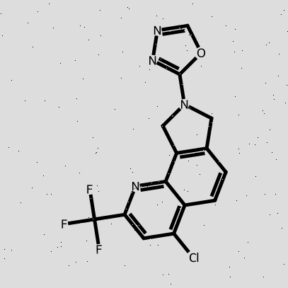 FC(F)(F)c1cc(Cl)c2ccc3c(c2n1)CN(c1nnco1)C3